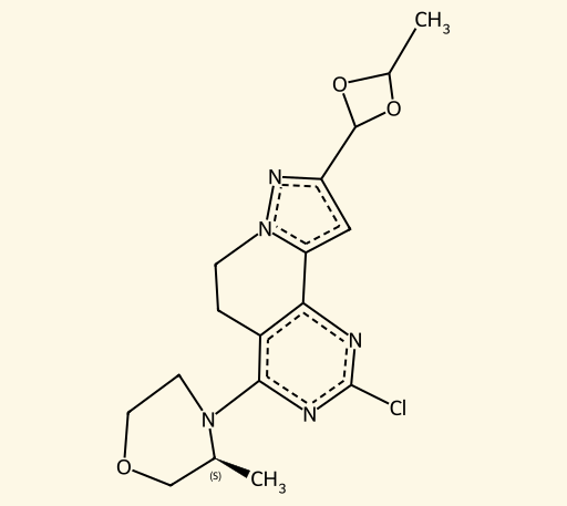 CC1OC(c2cc3n(n2)CCc2c-3nc(Cl)nc2N2CCOC[C@@H]2C)O1